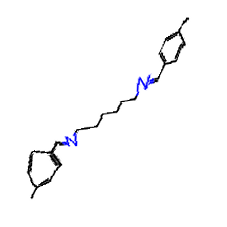 Cc1ccc(C=NCCCCCCN=Cc2ccc(C)cc2)cc1